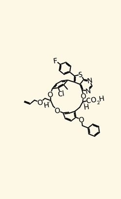 C=CCOC[C@@H]1COc2ccc(OCc3ccccc3)c(c2)C[C@H](C(=O)O)Oc2ncnc3sc(-c4ccc(F)cc4)c(c23)-c2ccc(c(Cl)c2C)O1